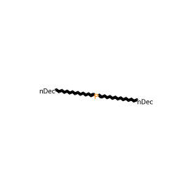 CCCCCCCCCCCCCCCCCCCCCCCC=C[P]C=CCCCCCCCCCCCCCCCCCCCCCCC